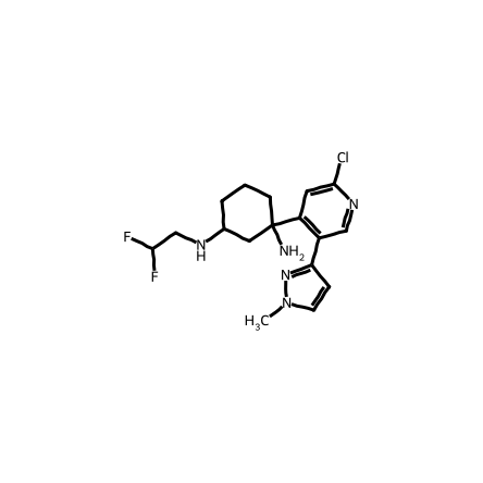 Cn1ccc(-c2cnc(Cl)cc2C2(N)CCCC(NCC(F)F)C2)n1